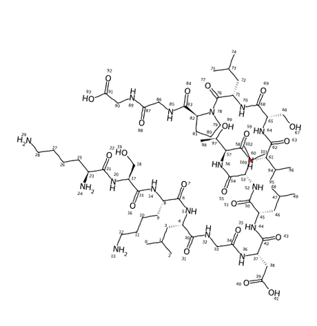 CC(C)C[C@H](NC(=O)[C@H](CCCCN)NC(=O)[C@H](CO)NC(=O)[C@@H](N)CCCCN)C(=O)NCC(=O)N[C@@H](CC(=O)O)C(=O)N[C@@H](CC(C)C)C(=O)N[C@H](C(=O)N[C@H](C(=O)N[C@H](C(=O)N[C@@H](CO)C(=O)N[C@@H](CC(C)C)C(=O)N1CCC[C@H]1C(=O)NCC(=O)NCC(=O)O)C(C)C)[C@@H](C)O)C(C)C